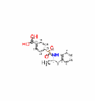 CC(Cc1ccccc1)NS(=O)(=O)c1ccc(B(O)O)cc1